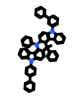 CC1(c2ccccc2)c2ccc3c(c2N(c2ccccc2)C2C=CC4=C(C5C=CC=CC5N4c4cccc(-c5ccccc5)c4)C21)c1ccccc1n3-c1ccc(-c2ccccc2)cc1